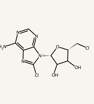 Nc1ncnc2c1nc(Cl)n2[C@@H]1O[C@H](CCl)C(O)C1O